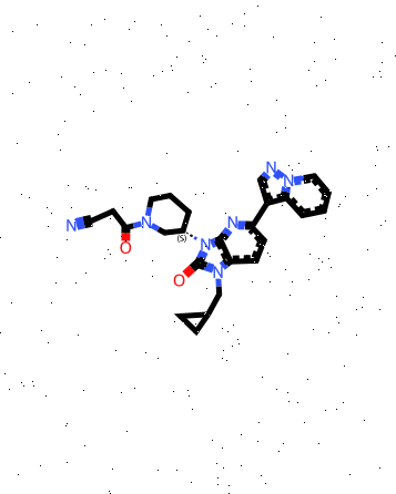 N#CCC(=O)N1CCC[C@H](n2c(=O)n(CC3CC3)c3ccc(-c4cnn5ccccc45)nc32)C1